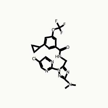 CN(C)c1nc(CNC(=O)c2cc(OC(F)(F)F)cc(C3CC3)c2)n(-c2ncc(Cl)cn2)n1